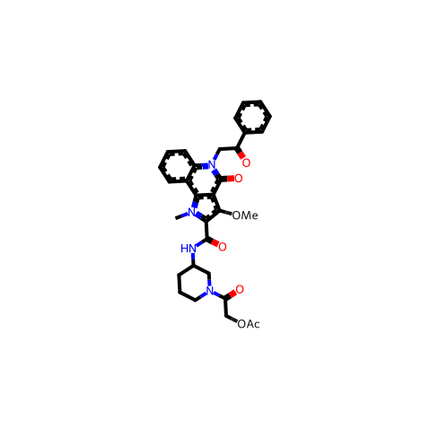 COc1c(C(=O)NC2CCCN(C(=O)COC(C)=O)C2)n(C)c2c1c(=O)n(CC(=O)c1ccccc1)c1ccccc21